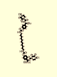 CCN1CCN(C(=O)NC(c2ccc(OC(=O)NCCCCCCCCCCCNC(=O)Oc3ccc(C(NC(=O)N4CCN(CC)C(=O)C4=O)C(C)(C)C)cc3)cc2)C(C)(C)C)C(=O)C1=O